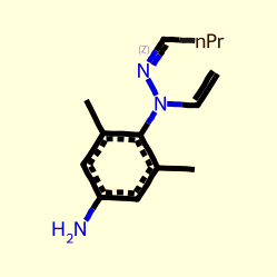 C=CN(/N=C\CCC)c1c(C)cc(N)cc1C